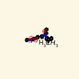 CC1(C)c2ccccc2-c2cc(N(c3ccc(-c4ccc5c(c4)oc4cc6nc(-c7ccccc7)oc6cc45)cc3)c3ccc4c(c3)oc3ccccc34)ccc21